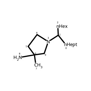 CCCCCCCC(CCCCCC)N1CCC(C)(N)C1